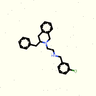 Clc1cccc(CNCCN2Cc3ccccc3CC2Cc2ccccc2)c1